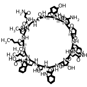 CCCCC[C@H]1C(=O)N[C@@H](CC(C)C)C(=O)N[C@H](C(=O)NCC(N)=O)CNCC(=O)N[C@@H](Cc2ccc(O)cc2)C(=O)N(C)[C@@H](C)C(=O)NC(CC(N)=O)C(=O)N2CCC[C@H]2C(=O)N[C@@H](Cc2cnc[nH]2)C(=O)N[C@@H](CCC(N)=O)C(=O)N2C[C@H](O)C[C@H]2C(=O)N[C@@H](Cc2c[nH]c3ccccc23)C(=O)N[C@@H](CO)C(=O)N[C@@H](Cc2cn(CC(=O)O)c3ccccc23)C(=O)N(C)[C@@H](CCCC)C(=O)N1C